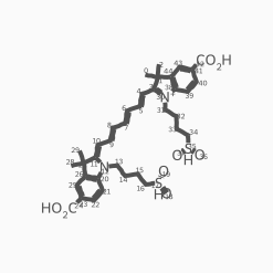 CC1(C)C(/C=C/C=C/C=C/C=C2\N(CCCC[SH](=O)=O)c3ccc(C(=O)O)cc3C2(C)C)=[N+](CCCC[SH](=O)=O)c2ccc(C(=O)O)cc21